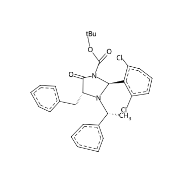 C[C@H](c1ccccc1)N1[C@H](Cc2ccccc2)C(=O)N(C(=O)OC(C)(C)C)[C@H]1c1c(Cl)cccc1Cl